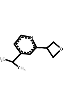 CC(C)c1ccnc(C2COC2)c1